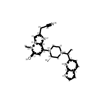 CC(c1ccc2ccsc2n1)N1CCN(c2cc(=O)n(C)n3cc(CC#N)nc23)[C@@H](C)C1